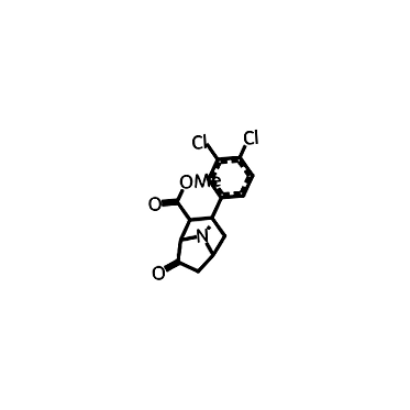 COC(=O)C1C(c2ccc(Cl)c(Cl)c2)CC2CC(=O)C1N2C